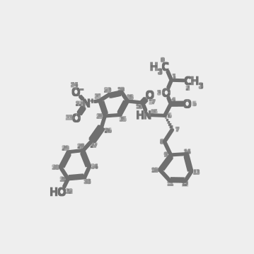 CC(C)OC(=O)[C@H](CCc1ccccc1)NC(=O)c1ccc([N+](=O)[O-])c(C#Cc2ccc(O)cc2)c1